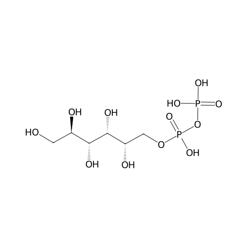 O=P(O)(O)OP(=O)(O)OC[C@H](O)[C@@H](O)[C@H](O)[C@H](O)CO